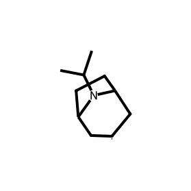 CC(C)N1C2C[CH]CC1CC2